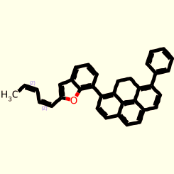 C/C=C\C=C/c1cc2cccc(-c3ccc4ccc5ccc(-c6ccccc6)c6c5c4c3CC6)c2o1